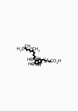 CC(C)=CCC[C@@H](C)CCC=C(O)[C@H]1[C@@H]2CC(CCSCC(=O)O)=C[C@@H]2C[C@@H]1O